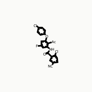 CC(=O)c1c(NC(=O)c2cc(C#N)ccc2Cl)cc(F)cc1Oc1ccc(Cl)cc1